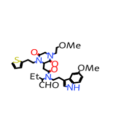 CCC(C=O)N(CCc1c[nH]c2ccc(OC)cc12)C(=O)CC1C(=O)N(CCOC)CC(=O)N1CCc1cccs1